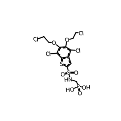 O=P(O)(O)CNS(=O)(=O)c1cc2c(Cl)c(OCCCl)c(OCCCl)c(Cl)c2s1